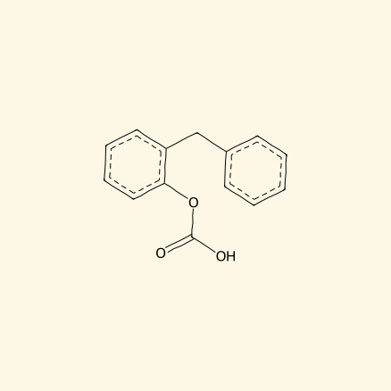 O=C(O)Oc1ccccc1Cc1ccccc1